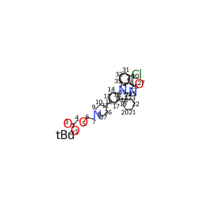 CC(C)(C)OC(=O)COCCN1CCC(c2ccc3c(c2)C2(CCCCC2)c2nc(=O)c4c(Cl)cccc4n2-3)CC1